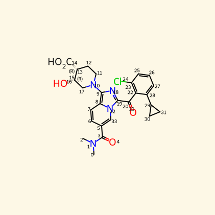 CN(C)C(=O)c1ccc2c(N3CC[C@@H](C(=O)O)[C@@H](O)C3)nc(C(=O)c3c(Cl)cccc3C3CC3)n2c1